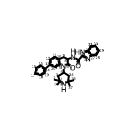 CC1(C)CC(NC(=O)C(Cc2ccc(-c3ccccc3)cc2)NC(=O)c2nc3ccccc3[nH]2)CC(C)(C)N1